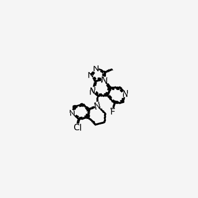 Cc1nnc2nc(N3CCCc4c3ccnc4Cl)c3c(F)cncc3n12